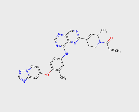 C=CC(=O)N1CCC(c2ncc3ncnc(Nc4ccc(Oc5ccn6ncnc6c5)c(C)c4)c3n2)=C[C@@H]1C